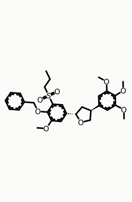 CCCS(=O)(=O)c1cc([C@@H]2C[C@@H](c3cc(OC)c(OC)c(OC)c3)CO2)cc(OC)c1OCc1ccccc1